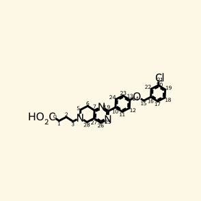 O=C(O)CCCN1CCc2nc(-c3ccc(OCc4cccc(Cl)c4)cc3)ncc2C1